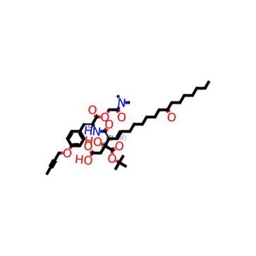 CC#CCOc1ccc(C[C@H](NC(=O)[C@@H](/C=C/CCCCCCC(=O)CCCCCCC)[C@@](O)(CC(=O)O)C(=O)OC(C)(C)C)C(=O)OCC(=O)N(C)C)cc1